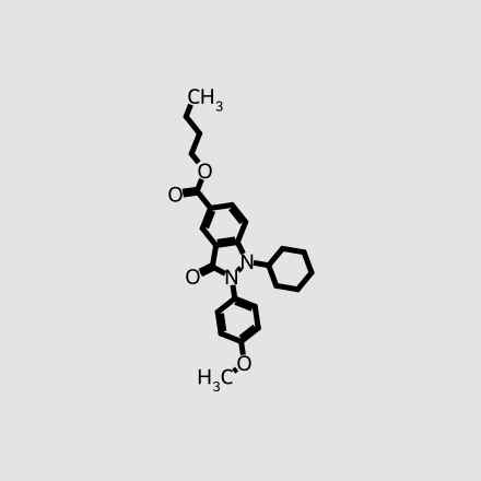 CCCCOC(=O)c1ccc2c(c1)c(=O)n(-c1ccc(OC)cc1)n2C1CCCCC1